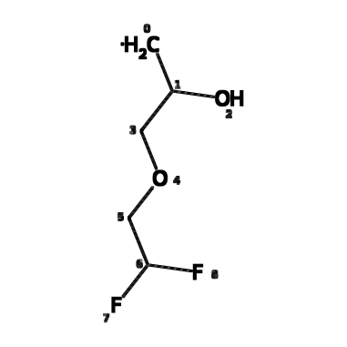 [CH2]C(O)COCC(F)F